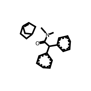 C1=C2CCC(C1)C2.CN(C)C(=O)C(c1ccccc1)c1ccccc1